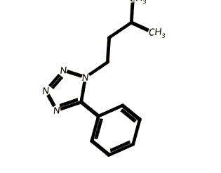 CC(C)CCn1nnnc1-c1ccccc1